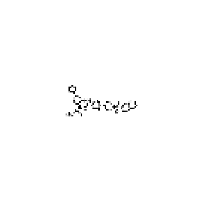 CC(C)(C)OC(=O)Nc1ccc(-c2cccs2)cc1NC(=O)c1cnc(N2CCN(S(=O)(=O)c3ccc4ccccc4c3)CC2)nc1